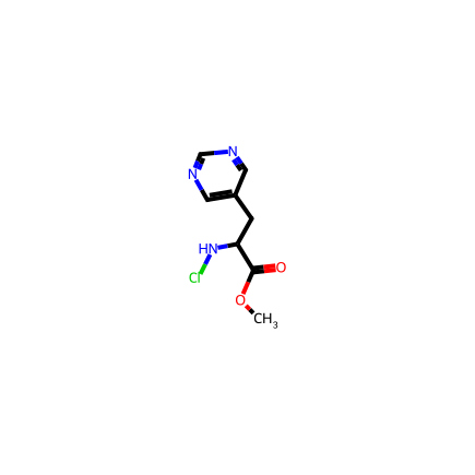 COC(=O)C(Cc1cncnc1)NCl